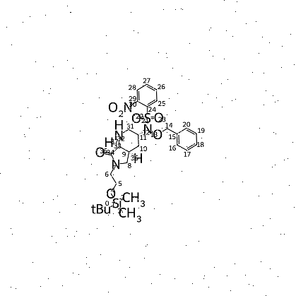 CC(C)(C)[Si](C)(C)OCCN1C[C@@H]2C[C@@H](N(OCc3ccccc3)S(=O)(=O)c3ccccc3[N+](=O)[O-])CN[C@@H]2C1=O